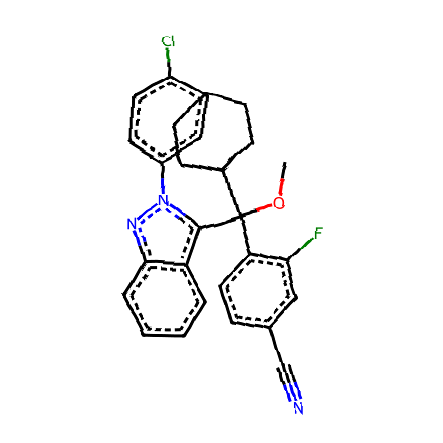 COC(c1ccc(C#N)cc1F)(c1c2ccccc2nn1-c1ccc(Cl)cc1)C1CCCCC1